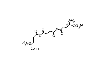 N[C@H](CCC(=O)OC(=O)CCC(=O)OC(=O)CC[C@@H](N)C(=O)O)C(=O)O